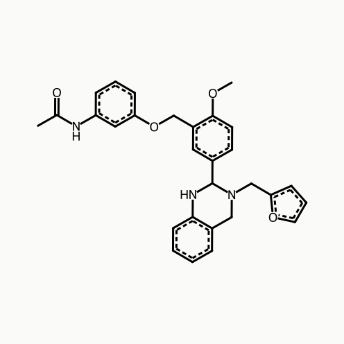 COc1ccc(C2Nc3ccccc3CN2Cc2ccco2)cc1COc1cccc(NC(C)=O)c1